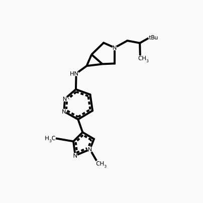 Cc1nn(C)cc1-c1ccc(NC2C3CN(CC(C)C(C)(C)C)CC32)nn1